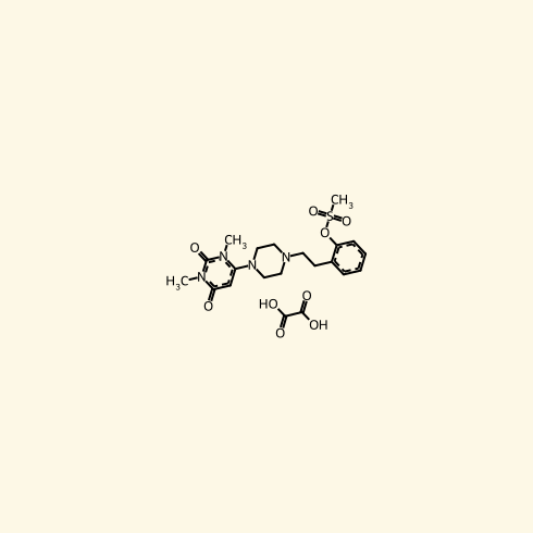 Cn1c(N2CCN(CCc3ccccc3OS(C)(=O)=O)CC2)cc(=O)n(C)c1=O.O=C(O)C(=O)O